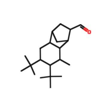 CC1C2C3CC(CC3C=O)C2CC(C(C)(C)C)C1C(C)(C)C